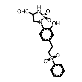 O=CC1CN(c2ccc(CCS(=O)(=O)c3ccccc3)cc2O)S(=O)(=O)N1